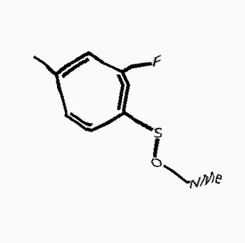 CNOSc1ccc(C)cc1F